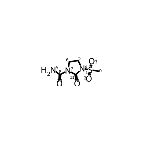 CS(=O)(=O)N1CCN(C(N)=O)C1=O